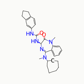 CN1C(=O)[C@H](NC(=O)Nc2ccc3c(c2)CCC3)N=C(N(C)C2CCCCCC2)c2ccccc21